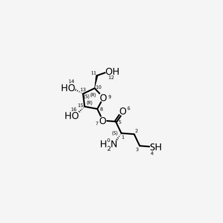 N[C@@H](CCS)C(=O)OC1O[C@H](CO)[C@@H](O)[C@H]1O